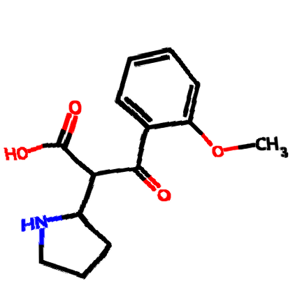 COc1ccccc1C(=O)C(C(=O)O)C1CCCN1